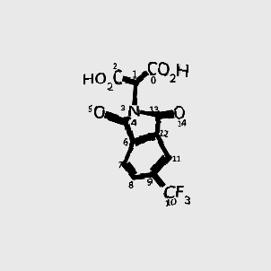 O=C(O)C(C(=O)O)N1C(=O)c2ccc(C(F)(F)F)cc2C1=O